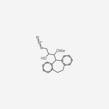 COC(C(O)CN=[N+]=[N-])C1c2ccccc2CCc2ccccc21